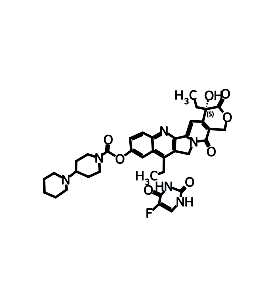 CCc1c2c(nc3ccc(OC(=O)N4CCC(N5CCCCC5)CC4)cc13)-c1cc3c(c(=O)n1C2)COC(=O)[C@]3(O)CC.O=c1[nH]cc(F)c(=O)[nH]1